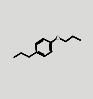 [CH2]CCc1ccc(OCCC)cc1